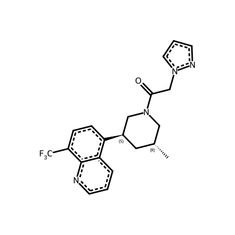 C[C@@H]1C[C@@H](c2ccc(C(F)(F)F)c3ncccc23)CN(C(=O)Cn2cccn2)C1